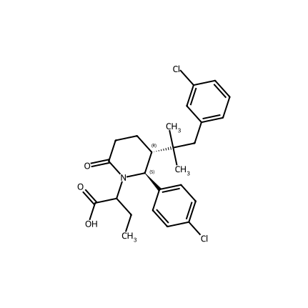 CCC(C(=O)O)N1C(=O)CC[C@H](C(C)(C)Cc2cccc(Cl)c2)[C@H]1c1ccc(Cl)cc1